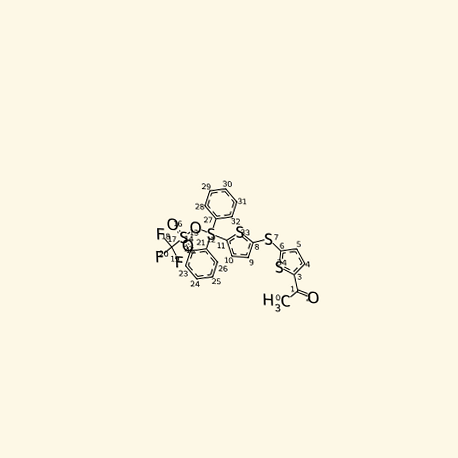 CC(=O)c1ccc(Sc2ccc(S(OS(=O)(=O)C(F)(F)F)(c3ccccc3)c3ccccc3)s2)s1